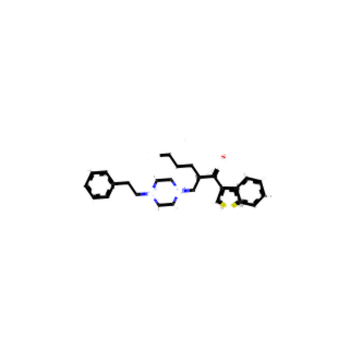 CCCCC(CN1CCN(CCc2ccccc2)CC1)C(=C=O)c1csc2ccccc12.Cl